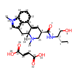 CC[C@@H](CO)NC(=O)[C@@H]1C=C2c3cccc4c3c(cn4C)C[C@H]2N(C)C1.O=C(O)C=CC(=O)O